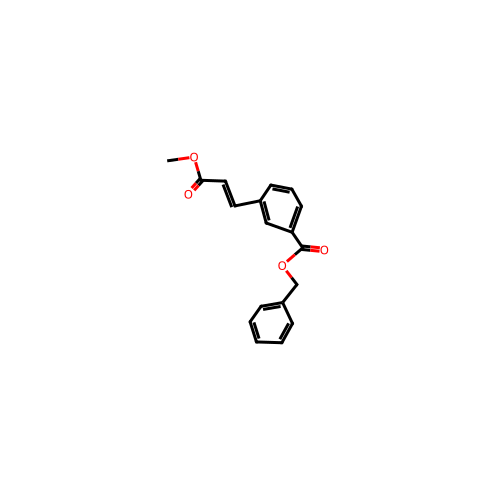 COC(=O)/C=C/c1cccc(C(=O)OCc2ccccc2)c1